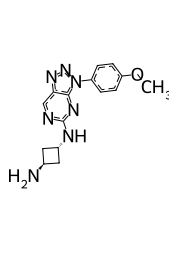 COc1ccc(-n2nnc3cnc(N[C@H]4C[C@H](N)C4)nc32)cc1